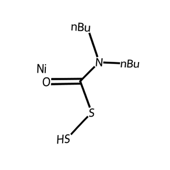 CCCCN(CCCC)C(=O)SS.[Ni]